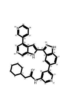 O=C(CC1CCCCC1)Nc1cncc(-c2ccc3[nH]nc(-c4cc5c(-c6cccnc6)cncc5[nH]4)c3c2)c1